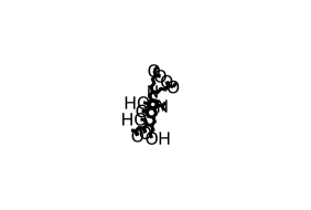 COC(=O)CCCN(CCCC(=O)OC)Cc1cc(N(C)C)c2c(c1O)C(=O)CC(CC(CCO)C(CO)C(=O)CC(C)=O)C2